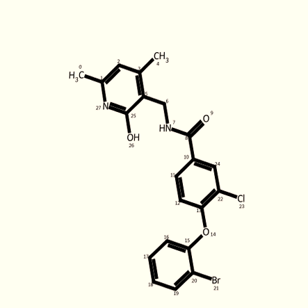 Cc1cc(C)c(CNC(=O)c2ccc(Oc3ccccc3Br)c(Cl)c2)c(O)n1